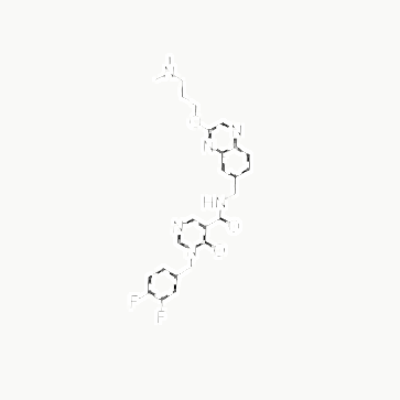 CN(C)CCCOc1cnc2ccc(CNC(=O)c3cncn(Cc4ccc(F)c(F)c4)c3=O)cc2n1